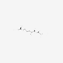 N=C(N)NCCC[C@H](N)C(=O)OC(=O)NC(=O)O